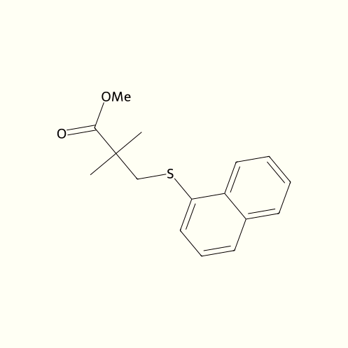 COC(=O)C(C)(C)CSc1cccc2ccccc12